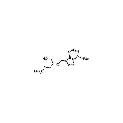 CCOC(=O)OCC(CO)OCn1cnc2c(NC)ncnc21